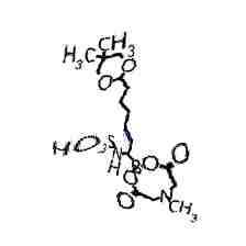 CN1CC(=O)OB(C(/C=C/CCCC2OCC(C)(C)CO2)NS(=O)(=O)O)OC(=O)C1